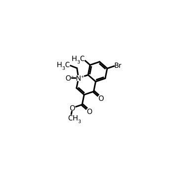 CC[N+]1([O-])C=C(C(=O)OC)C(=O)c2cc(Br)cc(C)c21